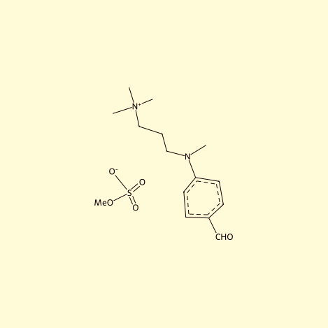 CN(CCC[N+](C)(C)C)c1ccc(C=O)cc1.COS(=O)(=O)[O-]